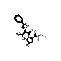 CNC(=O)[C@H]1CC(O)CN1C(=O)C(C(C)C)n1cc(-c2ccccc2)nn1